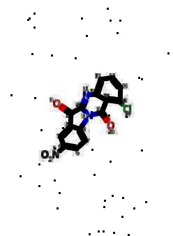 O=C1c2cc([N+](=O)[O-])ccc2-n2c1nc1cccc(Cl)c1c2=O